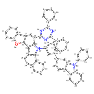 c1ccc(-c2nc(-c3ccccc3)nc(-c3cc4c5ccccc5oc4c4c5ccc6ccccc6c5n(-c5cccc(-c6ccc7c8ccccc8n(-c8ccccc8)c7c6)c5)c34)n2)cc1